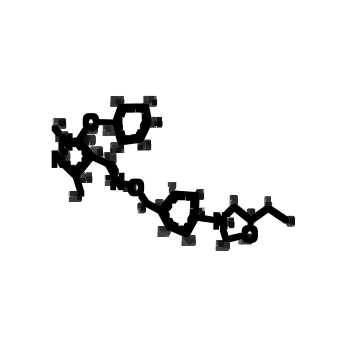 CCC1CN(c2ccc(CON=Cc3c(C)nn(C)c3Oc3ccccc3)cc2)CO1